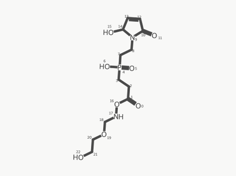 O=C(CCP(=O)(O)CCN1C(=O)C=CC1O)ONCOCCO